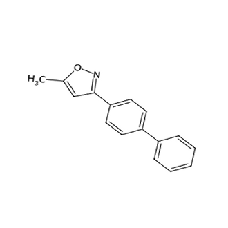 Cc1cc(-c2ccc(-c3ccccc3)cc2)no1